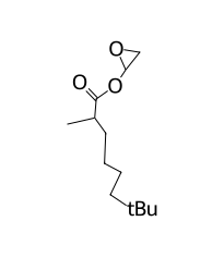 CC(CCCCC(C)(C)C)C(=O)OC1CO1